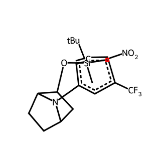 CC(C)(C)[Si](C)(C)OC1CC2CCC1N2c1ccc([N+](=O)[O-])c(C(F)(F)F)c1